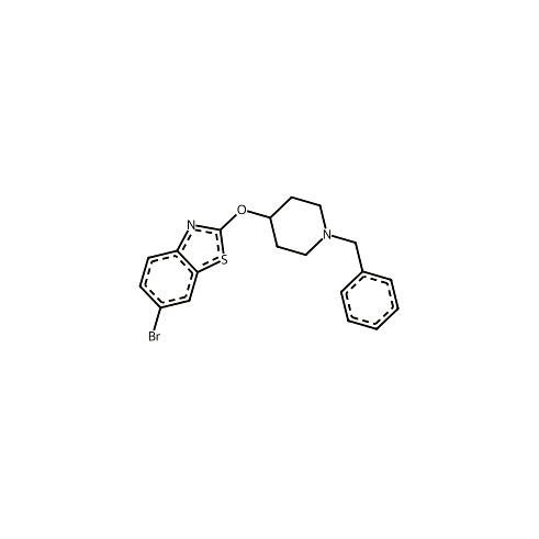 Brc1ccc2nc(OC3CCN(Cc4ccccc4)CC3)sc2c1